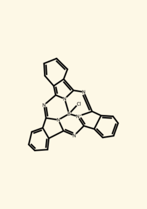 Cl[B-]12n3c4c5ccccc5c3N=c3c5ccccc5c(n31)=NC1=[N+]2C(=N4)c2ccccc21